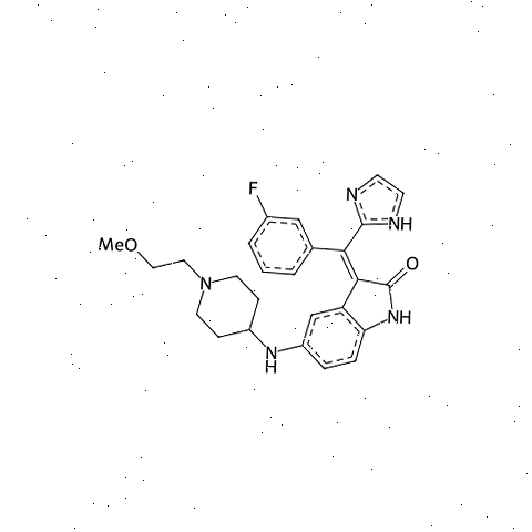 COCCN1CCC(Nc2ccc3c(c2)/C(=C(\c2cccc(F)c2)c2ncc[nH]2)C(=O)N3)CC1